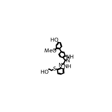 COc1cc(O)ccc1-c1ccc2c(-c3nc4c(SCCO)cccc4[nH]3)n[nH]c2c1